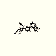 [C-]#[N+]C1(CC#N)CC(CC#N)(n2cc(-c3ncnc4[nH]ccc34)cn2)C1